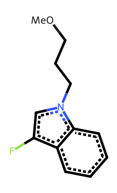 COCCCn1cc(F)c2ccccc21